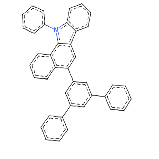 c1ccc(-c2cc(-c3ccccc3)cc(-c3cc4c5ccccc5n(-c5ccccc5)c4c4ccccc34)c2)cc1